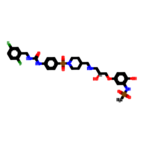 CS(=O)(=O)Nc1cc(OC[C@H](O)CNCC2CCN(S(=O)(=O)c3ccc(NC(=O)NCc4cc(F)ccc4F)cc3)CC2)ccc1O